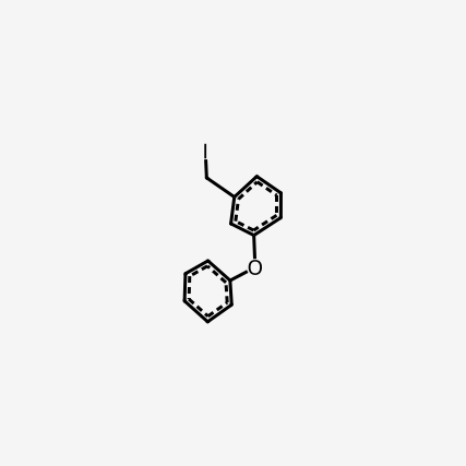 ICc1cccc(Oc2ccccc2)c1